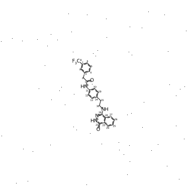 O=C(Cc1cccc(C(F)(F)F)c1)Nc1ccc(CCNc2n[nH]c(=O)c3ccccc23)cc1